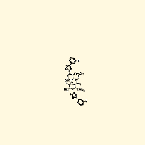 CO[C@@H]1[C@@H](n2cc(-c3cccc(F)c3)nn2)[C@@H](O)[C@@H](CO)O[C@H]1C(=O)N(CCO)[C@@H]1CCC[C@H](n2cc(-c3cccc(F)c3)nn2)[C@H]1O